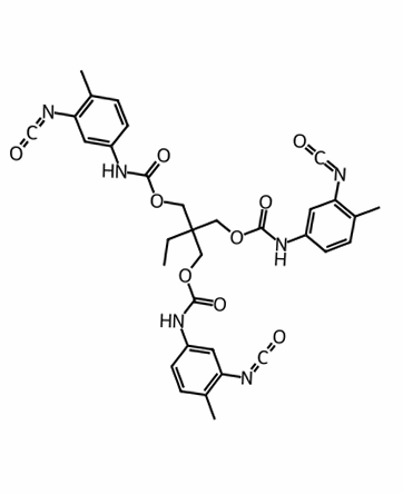 CCC(COC(=O)Nc1ccc(C)c(N=C=O)c1)(COC(=O)Nc1ccc(C)c(N=C=O)c1)COC(=O)Nc1ccc(C)c(N=C=O)c1